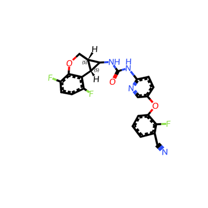 N#Cc1cccc(Oc2ccc(NC(=O)NC3[C@H]4COc5c(F)ccc(F)c5[C@@H]34)nc2)c1F